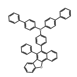 c1ccc(-c2ccc(N(c3ccc(-c4ccccc4)cc3)c3ccc(-c4c(-c5ccccc5)c5c6ccccc6oc5c5ccccc45)cc3)cc2)cc1